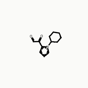 O=CC(=O)c1cccn1C1CCCCC1